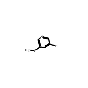 CSc1cncc(Cl)c1